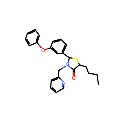 CCCCC1SC(c2cccc(Oc3ccccc3)c2)N(Cc2ccccn2)C1=O